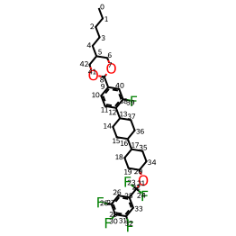 CCCCCC1COC(c2ccc(C3CCC(C4CCC(OC(F)(F)c5cc(F)c(F)c(F)c5)CC4)CC3)c(F)c2)OC1